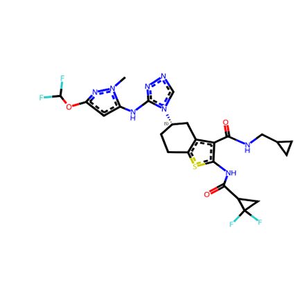 Cn1nc(OC(F)F)cc1Nc1nncn1[C@H]1CCc2sc(NC(=O)C3CC3(F)F)c(C(=O)NCC3CC3)c2C1